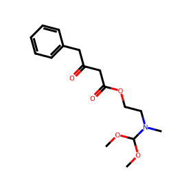 COC(OC)N(C)CCOC(=O)CC(=O)Cc1ccccc1